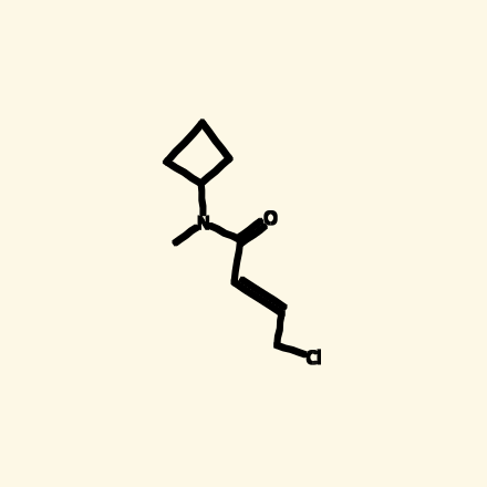 CN(C(=O)/C=C/CCl)C1CCC1